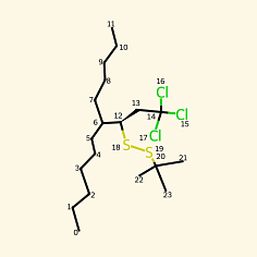 CCCCCCC(CCCCC)[C@@H](CC(Cl)(Cl)Cl)SSC(C)(C)C